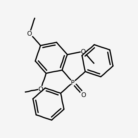 COc1cc(OC)c(P(=O)(c2ccccc2)c2ccccc2)c(OC)c1